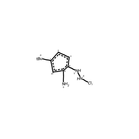 CC(C)(C)c1ccc(NNCl)c(N)c1